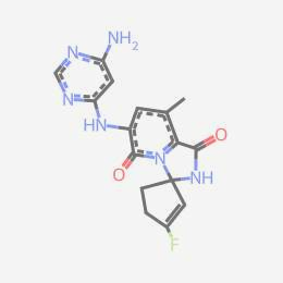 Cc1cc(Nc2cc(N)ncn2)c(=O)n2c1C(=O)NC21C=C(F)CC1